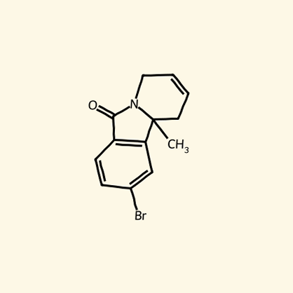 CC12CC=CCN1C(=O)c1ccc(Br)cc12